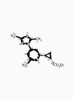 CCOC(=O)[C@H]1C[C@@H]1c1cc(-n2nc(C)nc2C)cc(C)n1